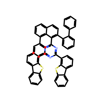 c1ccc(-c2ccccc2-c2ccc3cccc(-c4ccccc4)c3c2-c2nc(-c3cccc4c3sc3ccccc34)nc(-c3cccc4c3sc3ccccc34)n2)cc1